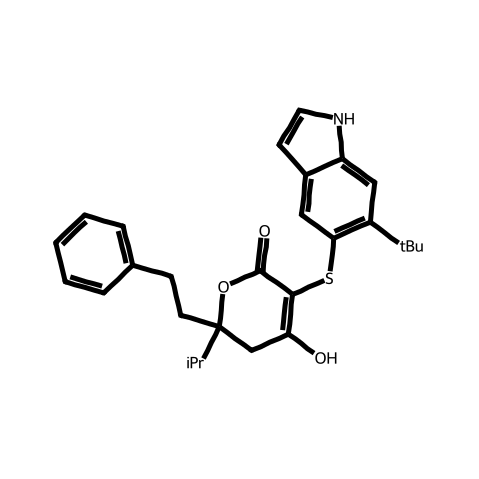 CC(C)C1(CCc2ccccc2)CC(O)=C(Sc2cc3cc[nH]c3cc2C(C)(C)C)C(=O)O1